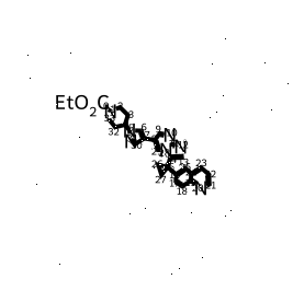 CCOC(=O)N1CCC(n2cc(-c3cnc4ncc(C5(c6ccc7ncccc7c6)CC5)n4c3)cn2)CC1